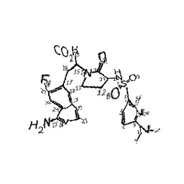 CN(C)c1ccc(S(=O)(=O)NC2CCN(C(Cc3cc4ccnc(N)c4cc3F)C(=O)O)C2=O)cn1